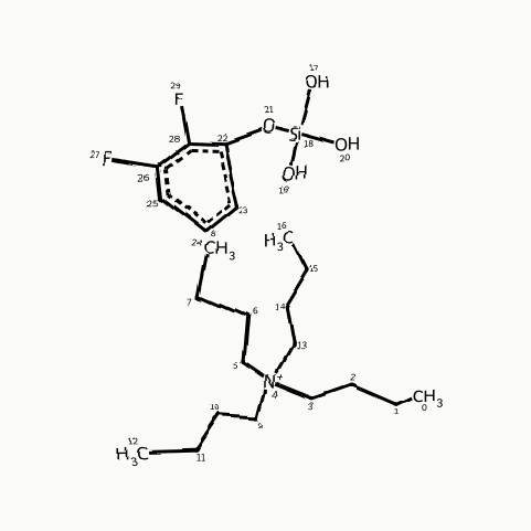 CCCC[N+](CCCC)(CCCC)CCCC.O[Si](O)(O)Oc1cccc(F)c1F